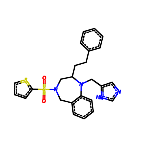 O=S(=O)(c1cccs1)N1Cc2ccccc2N(Cc2cnc[nH]2)C(CCc2ccccc2)C1